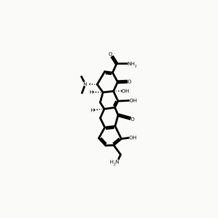 CN(C)[C@@H]1C=C(C(N)=O)C(=O)[C@@]2(O)C(O)=C3C(=O)c4c(ccc(CN)c4O)C[C@H]3C[C@@H]12